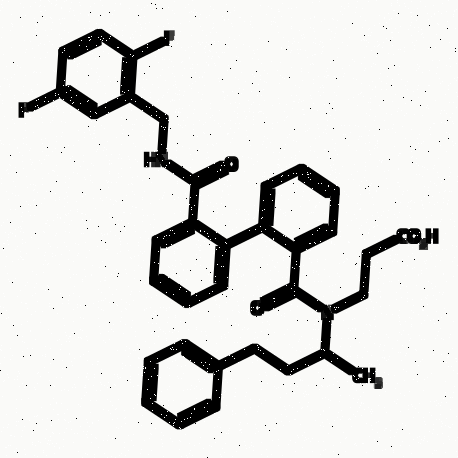 CC(CCc1ccccc1)N(CCC(=O)O)C(=O)c1ccccc1-c1ccccc1C(=O)NCc1cc(F)ccc1F